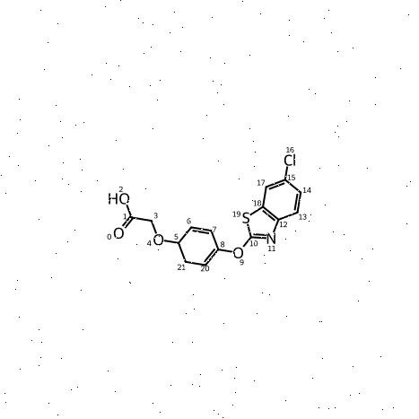 O=C(O)COC1C=CC(Oc2nc3ccc(Cl)cc3s2)=CC1